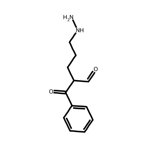 NNCCCC(C=O)C(=O)c1ccccc1